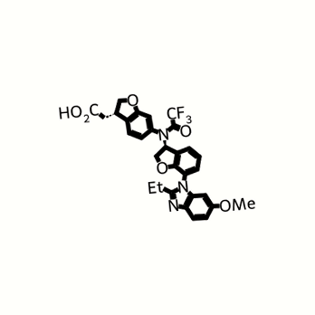 CCc1nc2ccc(OC)cc2n1-c1cccc2c1OC[C@H]2N(C(=O)C(F)(F)F)c1ccc2c(c1)OC[C@H]2CC(=O)O